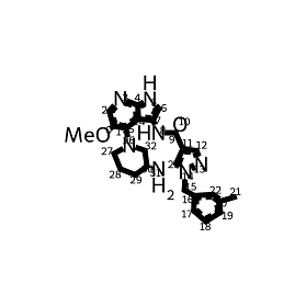 COc1cnc2[nH]cc(NC(=O)c3cnn(Cc4cccc(C)c4)c3)c2c1N1CCC[C@@H](N)C1